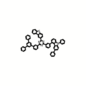 c1ccc(-c2cc(-c3ccccc3)cc(-c3cccc(-c4nc(-c5cccc(-c6cccc7c6c6cc(-c8ccccc8)ccc6n7-c6ccccc6)c5)nc(-c5ccc6sc7ccccc7c6c5)n4)c3)c2)cc1